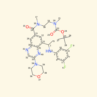 CC(Nc1cc(F)cc(F)c1)c1cc(C(=O)N(C)CCN(C)C(=O)OC(C)(C)C)cc2ncc(N3CCOCC3)nc12